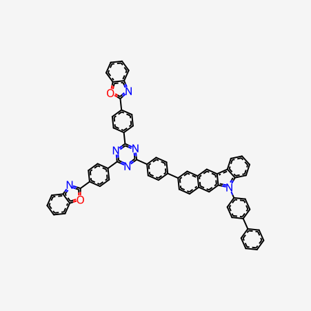 c1ccc(-c2ccc(-n3c4ccccc4c4cc5cc(-c6ccc(-c7nc(-c8ccc(-c9nc%10ccccc%10o9)cc8)nc(-c8ccc(-c9nc%10ccccc%10o9)cc8)n7)cc6)ccc5cc43)cc2)cc1